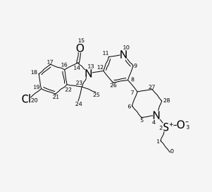 CC[S+]([O-])N1CCC(c2cncc(N3C(=O)c4ccc(Cl)cc4C3(C)C)c2)CC1